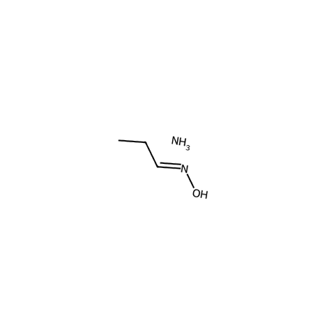 CCC=NO.N